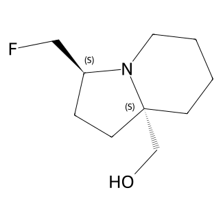 OC[C@@]12CCCCN1[C@H](CF)CC2